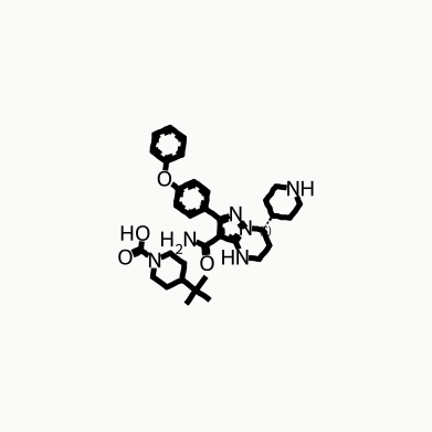 CC(C)(C)C1CCN(C(=O)O)CC1.NC(=O)c1c(-c2ccc(Oc3ccccc3)cc2)nn2c1NCC[C@H]2C1CCNCC1